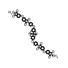 CN1C(=O)c2ccc(Oc3ccc4c(c3)C(=O)N(c3ccc(Oc5ccc(C(c6ccc(Oc7ccc(N8C(=O)c9ccc(Oc%10ccc%11c(c%10)C(=O)N(C)C%11=O)cc9C8=O)cc7)cc6)(C(F)(F)F)C(F)(F)F)cc5)cc3)C4=O)cc2C1=O